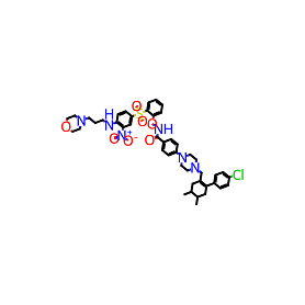 CC1CC(CN2CCN(c3ccc(C(=O)NOc4ccccc4S(=O)(=O)c4ccc(NCCCN5CCOCC5)c([N+](=O)[O-])c4)cc3)CC2)=C(c2ccc(Cl)cc2)CC1C